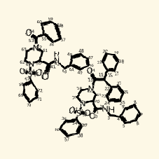 O=C(NCc1ccccc1)C1CN(C(=O)C(c2ccccc2)c2ccccc2)CCN1S(=O)(=O)c1ccccc1.O=C(NCc1ccccc1)C1CN(C(=O)c2ccccc2)CCN1S(=O)(=O)c1ccccc1